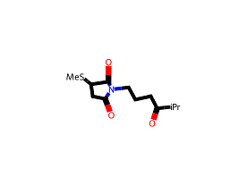 CSC1CC(=O)N(CCCC(=O)C(C)C)C1=O